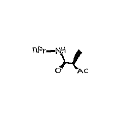 C=C(C(C)=O)C(=O)NCCC